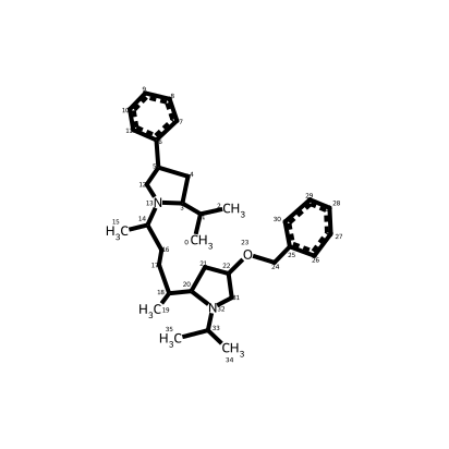 CC(C)C1CC(c2ccccc2)CN1C(C)CCC(C)C1CC(OCc2ccccc2)CN1C(C)C